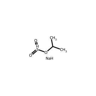 CC(C)O[SH](=O)=O.[NaH]